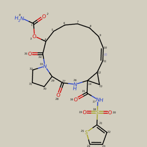 NC(=O)OC1CCCCC/C=C\C2CC2(C(=O)NS(=O)(=O)c2cccs2)NC(=O)C2CCCN2C1=O